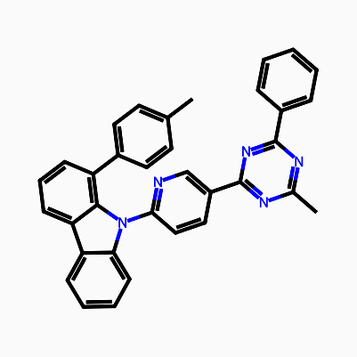 Cc1ccc(-c2cccc3c4ccccc4n(-c4ccc(-c5nc(C)nc(-c6ccccc6)n5)cn4)c23)cc1